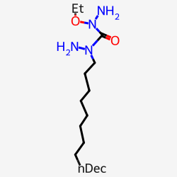 CCCCCCCCCCCCCCCCCCN(N)C(=O)N(N)OCC